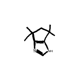 CC1(C)CC(C)(C)c2[nH]cnc21